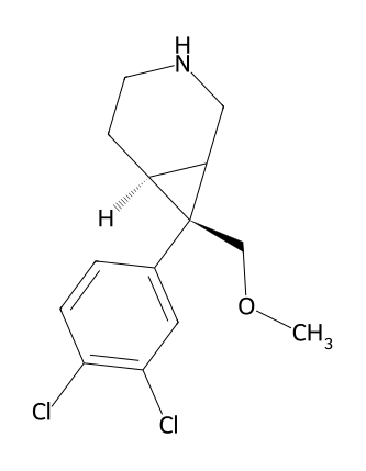 COC[C@]1(c2ccc(Cl)c(Cl)c2)C2CNCC[C@@H]21